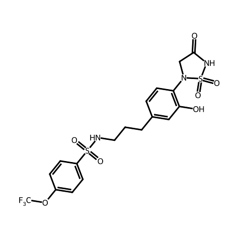 O=C1CN(c2ccc(CCCNS(=O)(=O)c3ccc(OC(F)(F)F)cc3)cc2O)S(=O)(=O)N1